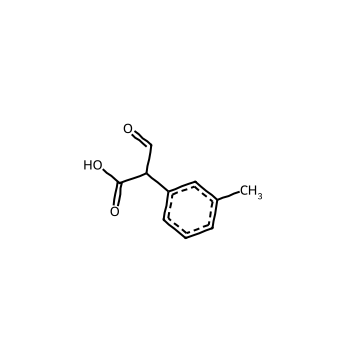 Cc1cccc(C(C=O)C(=O)O)c1